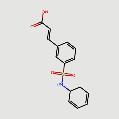 O=C(O)/C=C/c1cccc(S(=O)(=O)NC2C=CC=CC2)c1